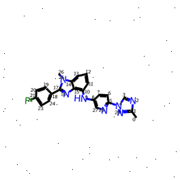 Cc1ncn(-c2ccc(Nc3cccc4c3nc(-c3ccc(F)cc3)n4C)cn2)n1